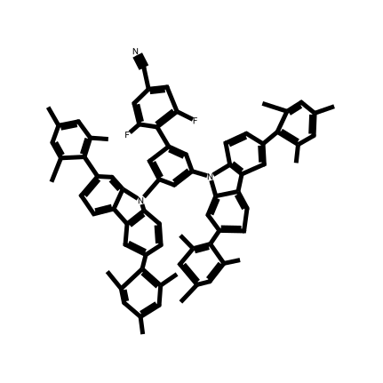 Cc1cc(C)c(-c2ccc3c(c2)c2ccc(-c4c(C)cc(C)cc4C)cc2n3-c2cc(-c3c(F)cc(C#N)cc3F)cc(-n3c4ccc(-c5c(C)cc(C)cc5C)cc4c4ccc(-c5c(C)cc(C)cc5C)cc43)c2)c(C)c1